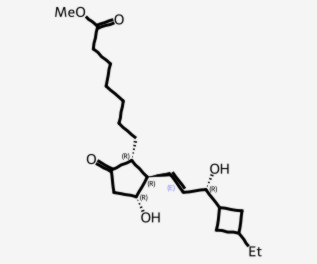 CCC1CC([C@@H](O)/C=C/[C@H]2[C@H](O)CC(=O)[C@@H]2CCCCCCC(=O)OC)C1